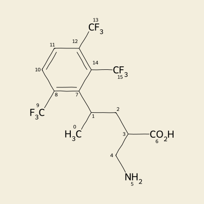 CC(CC(CN)C(=O)O)c1c(C(F)(F)F)ccc(C(F)(F)F)c1C(F)(F)F